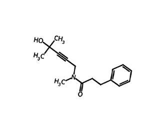 CN(CC#CC(C)(C)O)C(=O)CCc1ccccc1